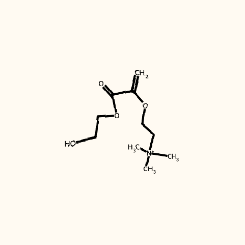 C=C(OCC[N+](C)(C)C)C(=O)OCCO